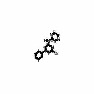 Brc1cc(-c2ccccc2)cc(Nc2cnccn2)n1